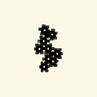 c1ccc(-c2ccc(N(c3ccc(-c4cccc(-n5c6ccccc6c6ccccc65)c4)c(-c4ccccc4)c3)c3ccccc3-c3ccccc3)cc2)cc1